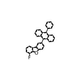 Fc1cccc2c1oc1ccc(-c3c4ccccc4c(-c4ccccc4)c4ccccc34)cc12